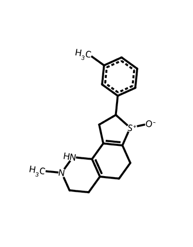 Cc1cccc(C2CC3=C(CCC4=C3NN(C)CC4)[S+]2[O-])c1